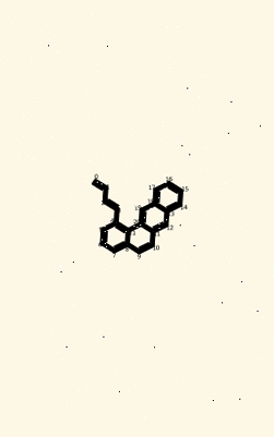 C=CC=Cc1cccc2ccc3cc4ccccc4cc3c12